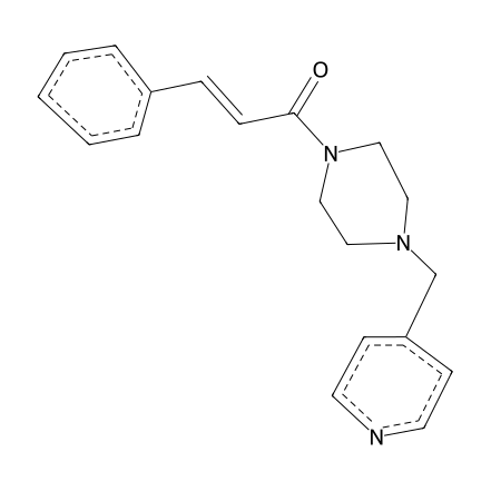 O=C(C=Cc1ccccc1)N1CCN(Cc2ccncc2)CC1